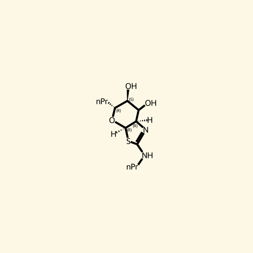 CCCNC1=N[C@@H]2C(O)[C@H](O)[C@@H](CCC)O[C@@H]2S1